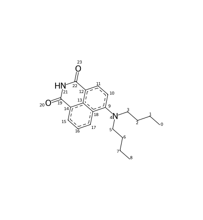 CCCCN(CCCC)c1ccc2c3c(cccc13)C(=O)NC2=O